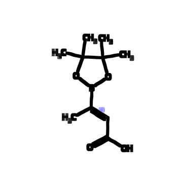 C/C(=C\C(=O)O)B1OC(C)(C)C(C)(C)O1